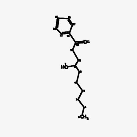 CCCCCCC(O)CCC(=O)c1ccccc1